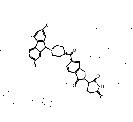 O=C1CCC(N2Cc3cc(C(=O)N4CCN(C5c6cc(Cl)ccc6-c6ccc(Cl)cc65)CC4)ccc3C2=O)C(=O)N1